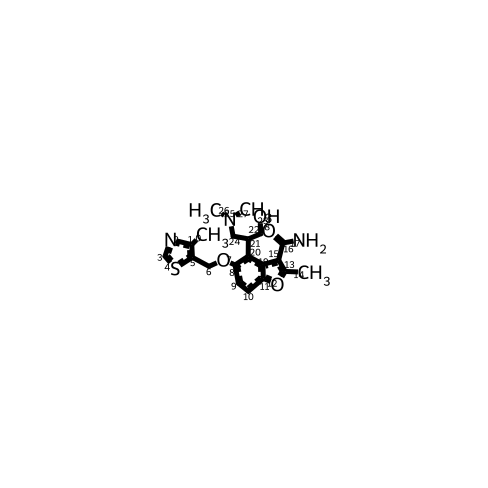 Cc1ncsc1COc1ccc2oc(C)c(C(N)=O)c2c1C(CO)CN(C)C